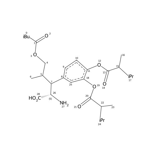 CCC(C)C(=O)OCC(C)C(c1ccc(OC(=O)C(C)C(C)C)c(OC(=O)C(C)C(C)C)c1)[C@H](N)C(=O)O